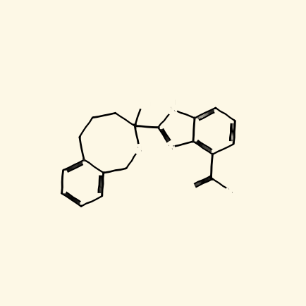 CC1(c2nc3c(C(N)=O)cccc3[nH]2)CCCc2ccccc2CN1